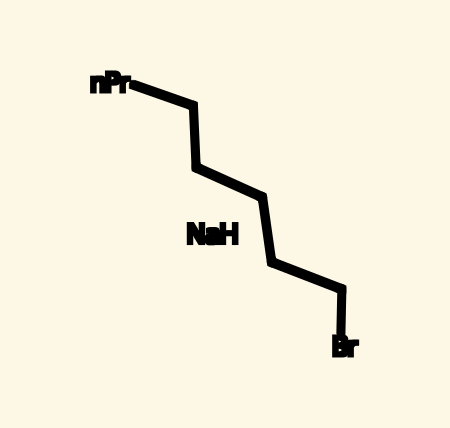 [CH2]CCCCCCCBr.[NaH]